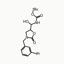 CC(C)c1cccc(CN2CC(C(O)NC(=O)OC(C)(C)C)OC2=O)c1